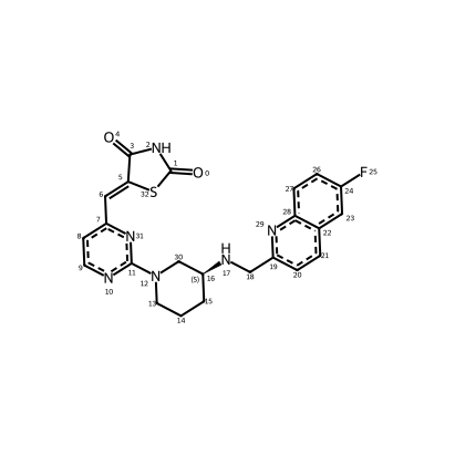 O=C1NC(=O)C(=Cc2ccnc(N3CCC[C@H](NCc4ccc5cc(F)ccc5n4)C3)n2)S1